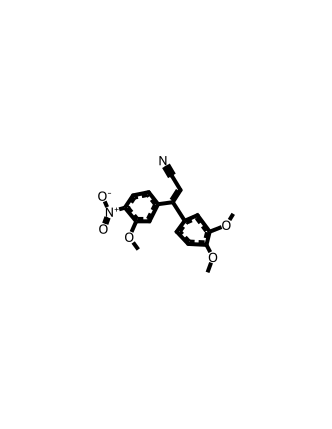 COc1ccc(C(=CC#N)c2ccc([N+](=O)[O-])c(OC)c2)cc1OC